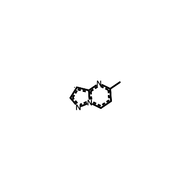 Cc1ccn2nc[c]c2n1